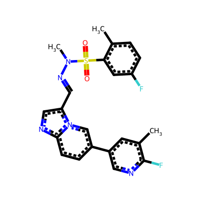 Cc1ccc(F)cc1S(=O)(=O)N(C)N=Cc1cnc2ccc(-c3cnc(F)c(C)c3)cn12